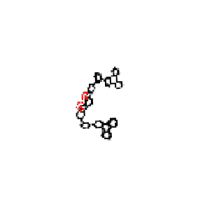 C1=CC2c3ccccc3-c3cc(-c4cccc(-c5ccc6oc7c(ccc8c9cc(-c%10cccc(-c%11ccc%12c%13ccccc%13c%13ccccc%13c%12c%11)c%10)ccc9oc87)c6c5)c4)ccc3C2C=C1